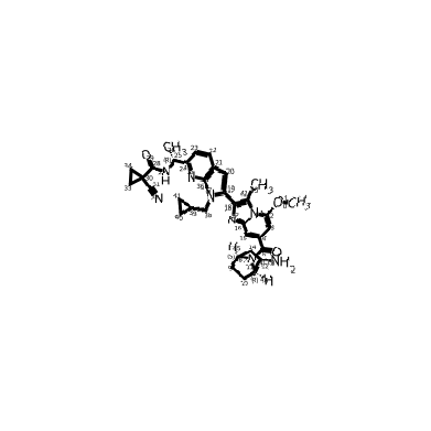 COc1cc(C(=O)N2[C@H]3CC[C@@H]2[C@H](N)C3)cc2nc(-c3cc4ccc([C@@H](C)NC(=O)C5(C#N)CC5)nc4n3CC3CC3)c(C)n12